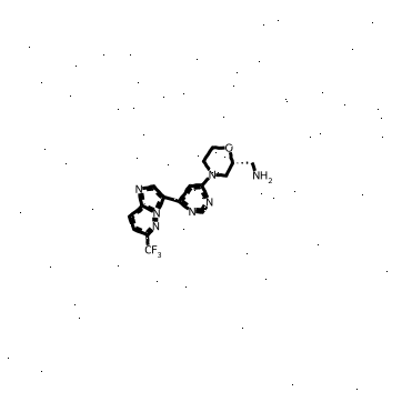 NC[C@@H]1CN(c2cc(-c3cnc4ccc(C(F)(F)F)nn34)ncn2)CCO1